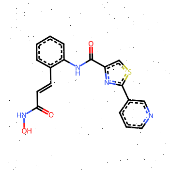 O=C(C=Cc1ccccc1NC(=O)c1csc(-c2cccnc2)n1)NO